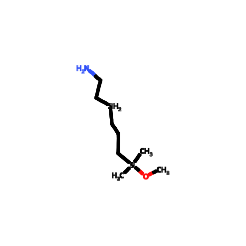 CO[Si](C)(C)CCC[SiH2]CCN